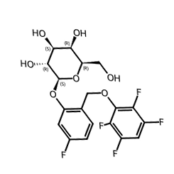 OC[C@H]1O[C@@H](Oc2cc(F)ccc2COc2c(F)c(F)cc(F)c2F)[C@H](O)[C@@H](O)[C@H]1O